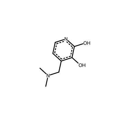 CN(C)Cc1ccnc(O)c1O